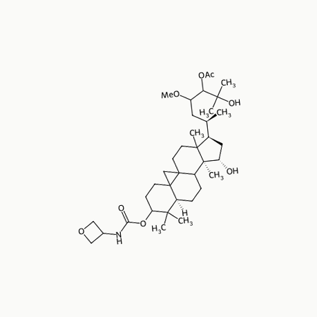 COC(C[C@@H](C)[C@H]1C[C@H](O)[C@@]2(C)C3CC[C@H]4C(C)(C)C(OC(=O)NC5COC5)CCC45CC35CCC12C)C(OC(C)=O)C(C)(C)O